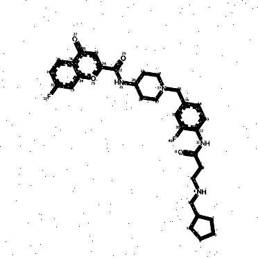 O=C(CCNCC1CCCC1)Nc1ccc(CN2CCC(NC(=O)c3cc(=O)c4ccc(F)cc4o3)CC2)cc1F